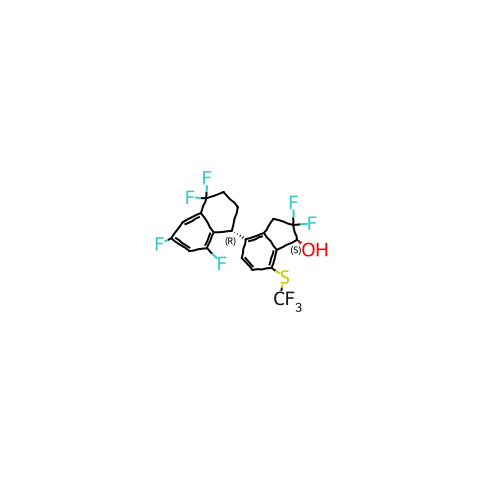 O[C@H]1c2c(SC(F)(F)F)ccc([C@H]3CCC(F)(F)c4cc(F)cc(F)c43)c2CC1(F)F